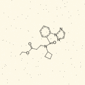 CCOC(=O)CCN(C(=O)c1ccccc1-n1nccn1)C1CCC1